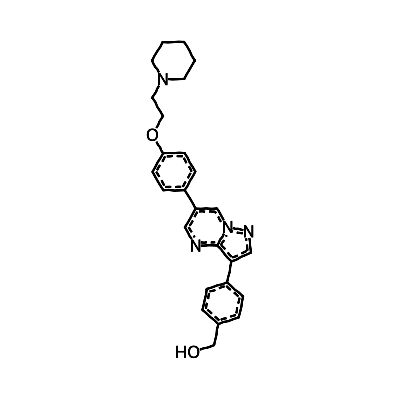 OCc1ccc(-c2cnn3cc(-c4ccc(OCCN5CCCCC5)cc4)cnc23)cc1